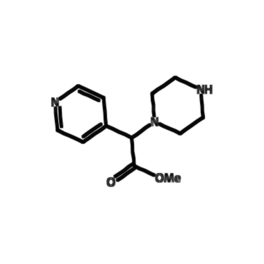 COC(=O)C(c1ccncc1)N1CCNCC1